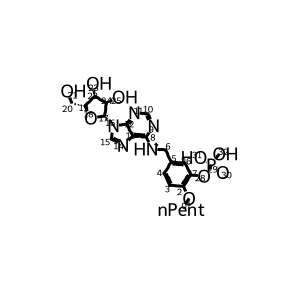 CCCCCOc1ccc(CNc2ncnc3c2ncn3[C@@H]2O[C@H](CO)[C@@H](O)[C@H]2O)cc1OP(=O)(O)O